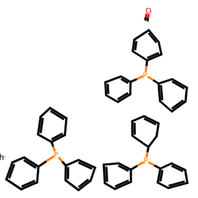 C1=CCC(P(c2ccccc2)c2ccccc2)C=C1.[C]=O.[Rh].c1ccc(P(c2ccccc2)c2ccccc2)cc1.c1ccc(P(c2ccccc2)c2ccccc2)cc1